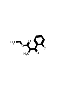 CCOC(=O)C(C)C(=O)c1ccccc1Cl